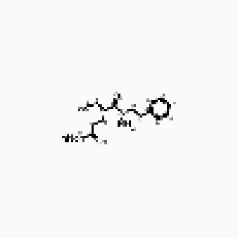 CCCCCCCCCC(=O)CC[C@@H](CC(C)=O)C(=O)N(N)CCc1ccccc1